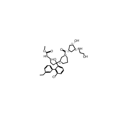 CCc1cccc(-c2c(Cl)cccc2[C@](O)(CCCNC(=O)OC)[C@@H]2CCCN(C(=O)[C@@H]3C[C@H](O)[C@H](NCCO)C3)C2)c1